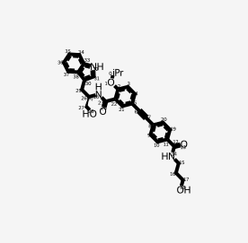 CC(C)Oc1ccc(C#Cc2ccc(C(=O)NCCCO)cc2)cc1C(=O)N[C@@H](CO)Cc1c[nH]c2ccccc12